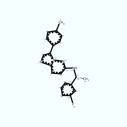 Cc1ccc(-c2cnc3ccc(N[C@H](C)c4cccc(F)c4)nn23)cc1